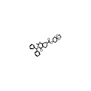 Cc1nc2c(c(=O)n1C(c1ccccc1)c1ccccc1)CCN(C(=O)OC1CCC3(CC1)OCCO3)C2